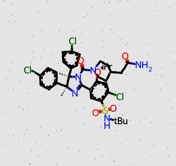 CC(C)Oc1cc(Cl)c(S(=O)(=O)NC(C)(C)C)cc1C1=N[C@@](C)(c2ccc(Cl)cc2)[C@@](C)(c2ccc(Cl)cc2)N1C(=O)N1CCC(CC(N)=O)CC1